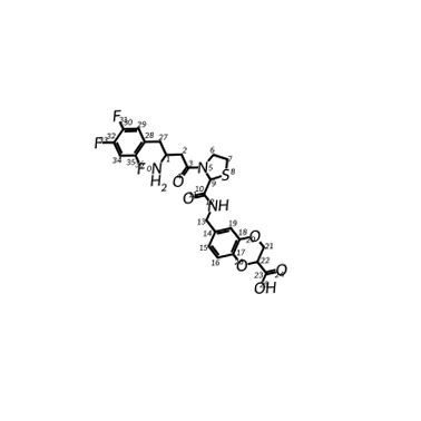 NC(CC(=O)N1CCSC1C(=O)NCc1ccc2c(c1)OCC(C(=O)O)O2)Cc1cc(F)c(F)cc1F